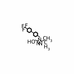 CC(C)c1nnc(CO)n1Cc1ccc(-c2ccc(C(F)(F)F)cc2)cc1